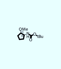 CO[C@H]1CCC[C@H]1NC(=O)OC(C)(C)C